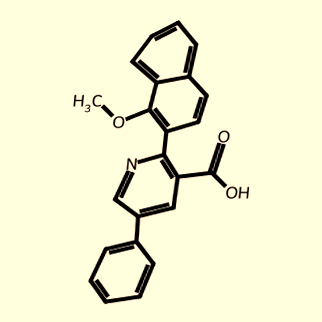 COc1c(-c2ncc(-c3ccccc3)cc2C(=O)O)ccc2ccccc12